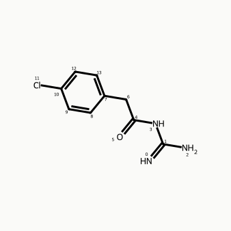 N=C(N)NC(=O)Cc1ccc(Cl)cc1